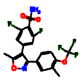 Cc1cc(-c2noc(C)c2-c2cc(F)c(S(N)(=O)=O)c(F)c2)ccc1OC(F)(F)F